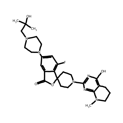 CN1CCCc2c(O)nc(N3CCC4(CC3)OC(=O)c3cc(N5CCN(CC(C)(C)O)CC5)cc(F)c34)nc21